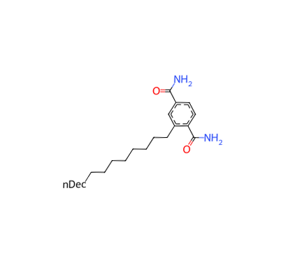 CCCCCCCCCCCCCCCCCCc1cc(C(N)=O)ccc1C(N)=O